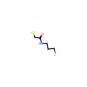 O=C(CS)NCCCI